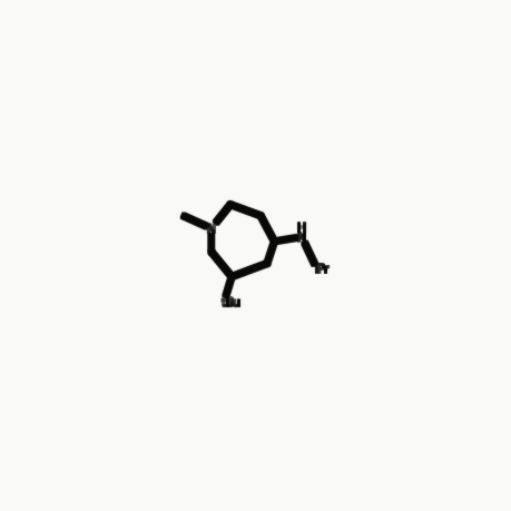 CC(C)NC1CCN(C)CC(C(C)(C)C)C1